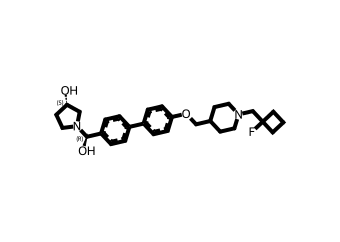 O[C@H]1CCN([C@H](O)c2ccc(-c3ccc(OCC4CCN(CC5(F)CCC5)CC4)cc3)cc2)C1